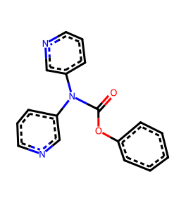 O=C(Oc1ccccc1)N(c1cccnc1)c1cccnc1